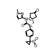 Cn1ccc(NC(=O)[C@H](C[C@H]2CCC(=O)C2)c2ccc(C3([SH](=O)=O)CC3)cc2)n1